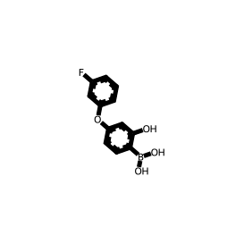 OB(O)c1ccc(Oc2cccc(F)c2)cc1O